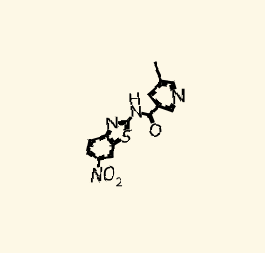 Cc1cncc(C(=O)Nc2nc3ccc([N+](=O)[O-])cc3s2)c1